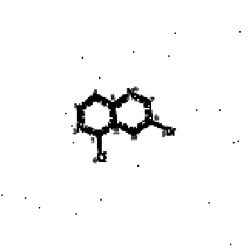 Clc1nccc2ncc(Br)cc12